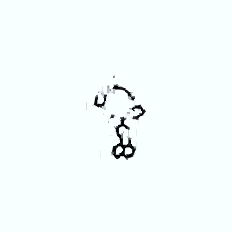 C#Cc1c(F)ccc2cc(O)cc(-c3ncc4c5nc(nc4c3F)OC[C@]3(CNC(=O)CCOC[C@]46CC[C@H](CN5C4)N6)C[C@@H](F)CN3C)c12